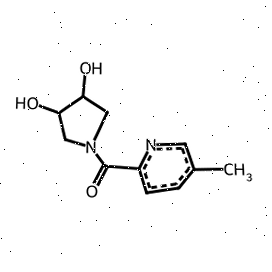 Cc1ccc(C(=O)N2CC(O)C(O)C2)nc1